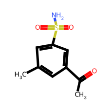 CC(=O)c1cc(C)cc(S(N)(=O)=O)c1